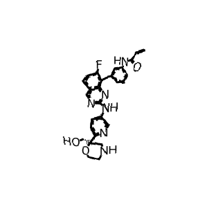 C=CC(=O)Nc1cccc(-c2c(F)ccc3cnc(Nc4ccc([C@@]5(CO)CNCCO5)nc4)nc23)c1